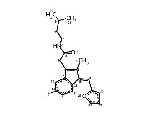 CC1=C(CC(=O)NCCC(C)C)c2cc(F)ccc2/C1=C\c1ccco1